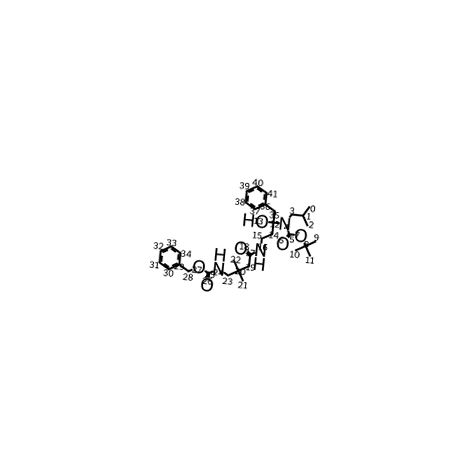 CC(C)CN(C(=O)OC(C)(C)C)C(O)(CCNC(=O)CC(C)(C)CNC(=O)OCc1ccccc1)Cc1ccccc1